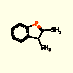 [SiH3]C1=Pc2ccccc2C1[SiH3]